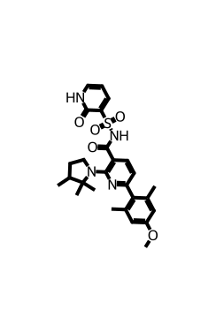 COc1cc(C)c(-c2ccc(C(=O)NS(=O)(=O)c3ccc[nH]c3=O)c(N3CCC(C)C3(C)C)n2)c(C)c1